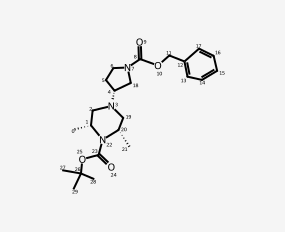 C[C@@H]1CN([C@@H]2CCN(C(=O)OCc3ccccc3)C2)C[C@H](C)N1C(=O)OC(C)(C)C